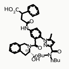 CCCCN(CCCC)C(=O)c1cc(C)n(-c2ccc(NC(=O)CC(C(=O)O)c3ccccc3)cc2C(=O)N2Cc3ccccc3C[C@H]2CO)n1